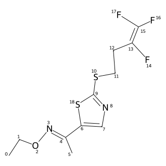 CCO/N=C(\C)c1cnc(SCCC(F)=C(F)F)s1